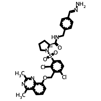 Cc1nc(C)c2cccc(OCc3c(Cl)ccc(S(=O)(=O)N4CCC[C@H]4C(=O)NCc4ccc(C=NN)cc4)c3Cl)c2n1